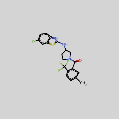 Cc1ccc(C(F)(F)F)c(C(=O)N2CCC(Nc3nc4ccc(F)cc4s3)C2)c1